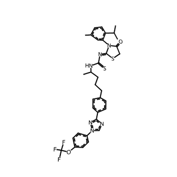 Cc1ccc(C(C)C)c(N2C(=O)CS/C2=N\C(=S)NC(C)CCCc2ccc(-c3ncn(-c4ccc(OC(F)(F)F)cc4)n3)cc2)c1